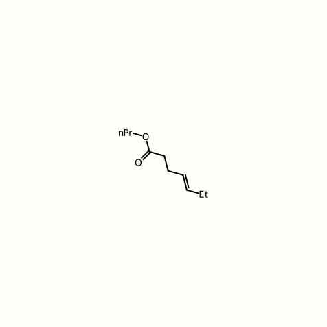 [CH2]C/C=C/CCC(=O)OCCC